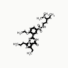 CCCc1nc(CC)c2c(=O)[nH]c(-c3cc(S(=O)(=O)NCCC(CC)N(C)C)ccc3OCC)nn12